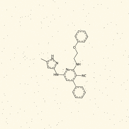 [C-]#[N+]c1c(-c2ccccc2)cc(Nc2cc(C)[nH]n2)nc1NCCOc1ccccc1